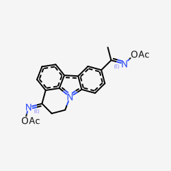 CC(=O)O/N=C(\C)c1ccc2c(c1)c1cccc3c1n2CC/C3=N\OC(C)=O